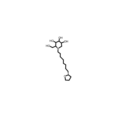 OCC1C(O)C(O)C(O)CN1CCCCCCCC[C@H]1CCCO1